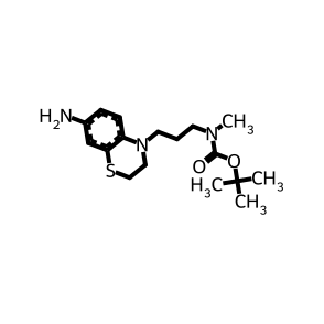 CN(CCCN1CCSc2cc(N)ccc21)C(=O)OC(C)(C)C